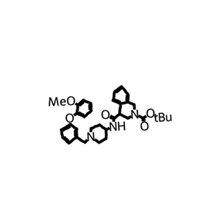 COc1ccccc1Oc1cccc(CN2CCC(NC(=O)C3CN(C(=O)OC(C)(C)C)Cc4ccccc43)CC2)c1